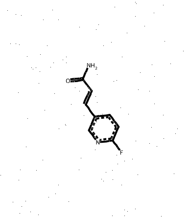 NC(=O)C=Cc1ccc(F)nc1